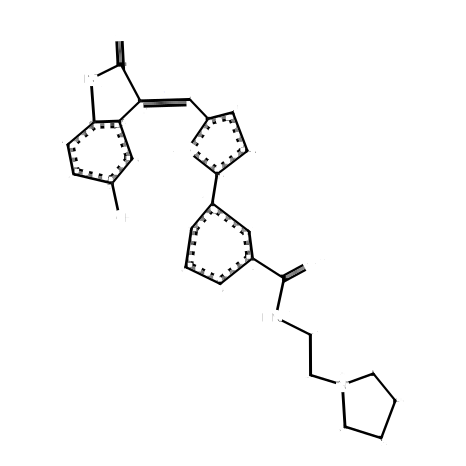 O=C1Nc2ccc(C(F)(F)F)cc2/C1=C\c1ccc(-c2cccc(C(=O)NCCN3CCCC3)c2)o1